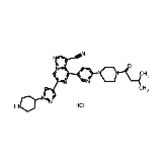 CC(C)CC(=O)N1CCN(c2ccc(-c3nc(-c4cnn(C5CCNCC5)c4)cn4ncc(C#N)c34)cn2)CC1.Cl